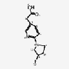 O=C(O)Cc1ccc(N2CCC(F)C2)nc1